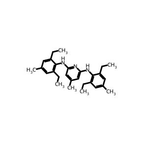 CCc1cc(C)cc(CC)c1Nc1cc(C)cc(Nc2c(CC)cc(C)cc2CC)n1